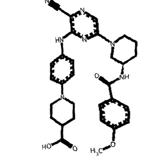 COc1ccc(C(=O)N[C@@H]2CCCN(c3cnc(C#N)c(Nc4ccc(N5CCC(C(=O)O)CC5)cc4)n3)C2)cc1